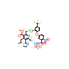 COC(=O)c1c(C(F)F)nc(C(F)(F)F)c(C2=NCCS2)c1CC(C)C.CS(=O)(=O)NC(=O)c1cc(Oc2ccc(C(F)(F)F)cc2Cl)ccc1[N+](=O)[O-]